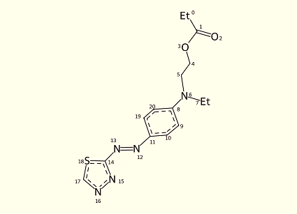 CCC(=O)OCCN(CC)c1ccc(/N=N/c2nncs2)cc1